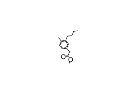 CCCCc1cc(CC(=O)OC)ccc1C